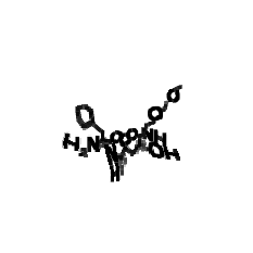 CCOCCOCCNC(=O)[C@H](CO)CC(=O)[C@@H](C)NC(=O)[C@@H](N)Cc1ccccc1